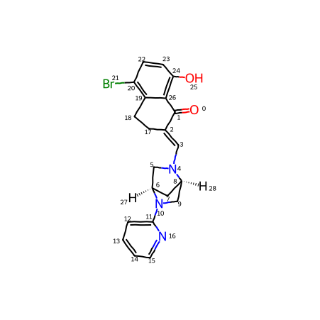 O=C1/C(=C/N2C[C@H]3C[C@@H]2CN3c2ccccn2)CCc2c(Br)ccc(O)c21